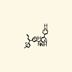 C=C/C=C(\c1c[nH]c(-c2n[nH]c3ncc(C4=CCNCC4)cc23)c1)c1ccc(C)s1